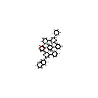 c1ccc(-c2cc(-c3ccccc3-c3ccc(-c4ccccc4-c4nc(-c5ccccc5)nc(-c5ccccc5)n4)c(-c4ccccn4)c3)cc(-c3ccc4ccccc4c3)n2)cc1